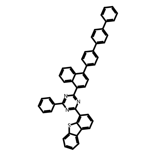 c1ccc(-c2ccc(-c3ccc(-c4ccc(-c5nc(-c6ccccc6)nc(-c6cccc7c6sc6ccccc67)n5)c5ccccc45)cc3)cc2)cc1